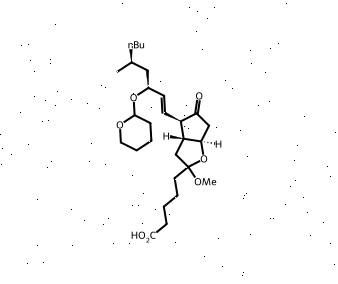 CCCC[C@H](C)C[C@@H](/C=C/[C@H]1C(=O)C[C@H]2OC(CCCCC(=O)O)(OC)C[C@@H]21)OC1CCCCO1